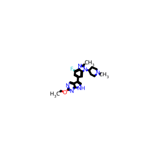 CCOc1ncc2c(-c3cc(F)c4nc(C)n(C5CCN(C)CC5)c4c3)c[nH]c2n1